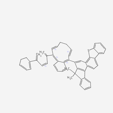 C=C(/C=C\C(=C)C1=c2\cccc\c2=C(c2cc3c(ccc4c5ccccc5sc34)c3c2C(C)(C)c2ccccc2-3)\C=C\CC\C=C\1)C1=CC=CCC1